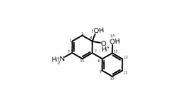 NC1=CCC(O)(O)C(c2ccccc2O)=C1